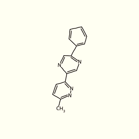 Cc1ccc(-c2cnc(-c3ccccc3)cn2)nn1